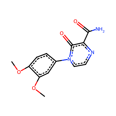 COc1ccc(-n2ccnc(C(N)=O)c2=O)cc1OC